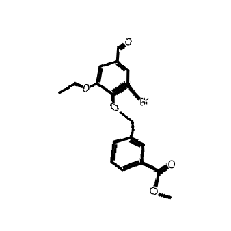 CCOc1cc(C=O)cc(Br)c1OCc1cccc(C(=O)OC)c1